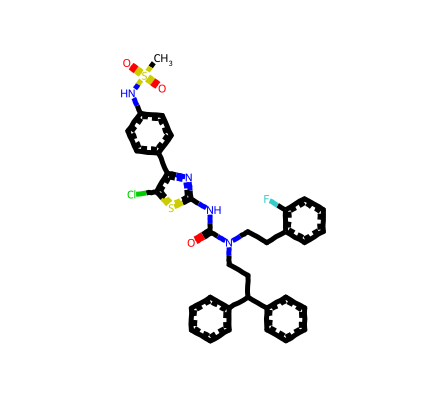 CS(=O)(=O)Nc1ccc(-c2nc(NC(=O)N(CCc3ccccc3F)CCC(c3ccccc3)c3ccccc3)sc2Cl)cc1